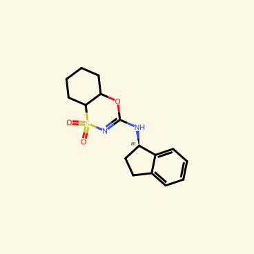 O=S1(=O)N=C(N[C@@H]2CCc3ccccc32)OC2CCCCC21